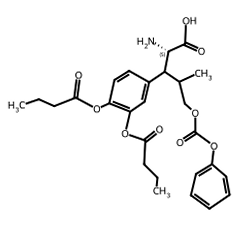 CCCC(=O)Oc1ccc(C(C(C)COC(=O)Oc2ccccc2)[C@H](N)C(=O)O)cc1OC(=O)CCC